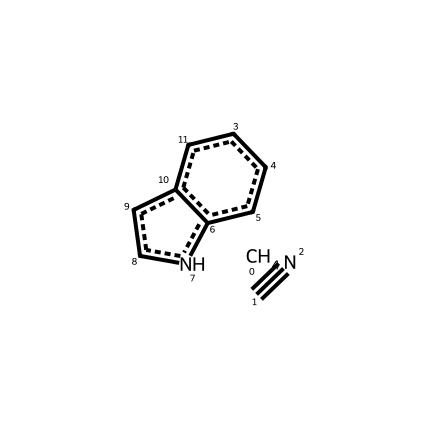 C.C#N.c1ccc2[nH]ccc2c1